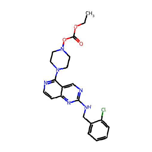 CCOC(=O)ON1CCN(c2nccc3nc(NCc4ccccc4Cl)ncc23)CC1